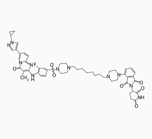 Cc1c(Nc2ccc(S(=O)(=O)N3CCN(CCCCCCCCN4CCN(c5cccc6c5C(=O)N(C5CCC(=O)NC5=O)C6=O)CC4)CC3)cc2F)nc2ccc(-c3cnn(C4CC4)c3)cn2c1=O